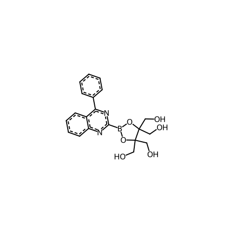 OCC1(CO)OB(c2nc(-c3ccccc3)c3ccccc3n2)OC1(CO)CO